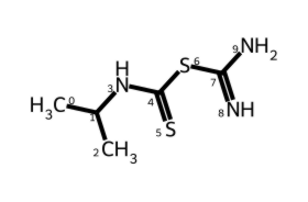 CC(C)NC(=S)SC(=N)N